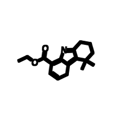 CCOC(=O)C1=C2N=C3CCCC(C)(C)C3=C2CC=C1